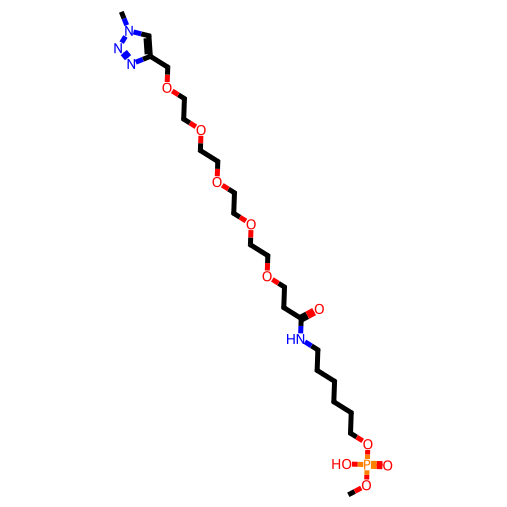 COP(=O)(O)OCCCCCCNC(=O)CCOCCOCCOCCOCCOCc1cn(C)nn1